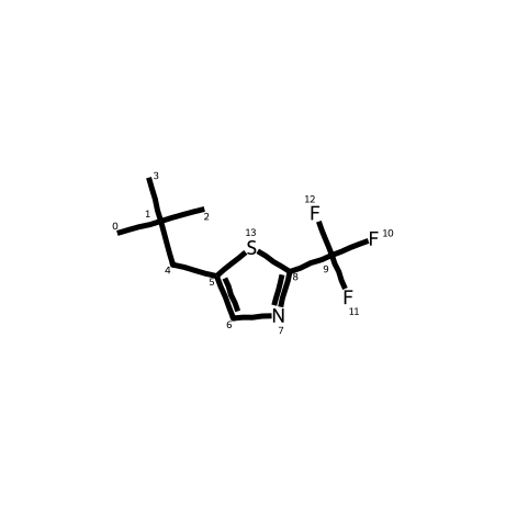 CC(C)(C)Cc1cnc(C(F)(F)F)s1